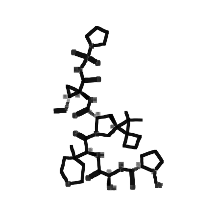 C=C[C@@H]1C[C@]1(NC(=O)[C@@H]1C[C@@]2(CN1C(=O)[C@@H](NC(=O)[C@@H](NC(=O)[C@@H]1CCCN1C(C)C)C(C)(C)C)C1(C)CCOCC1)C(C)(C)C21CCC1)C(=O)NS(=O)(=O)N1CCCC1